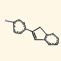 Ic1ccc(C2=Cc3ccccc3C2)cc1